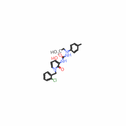 Cc1ccc(N(CC(=O)O)NC(=O)Nc2c(O)ccn(Cc3ccccc3Cl)c2=O)cc1